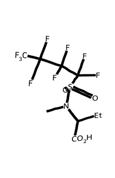 CCC(C(=O)O)N(C)S(=O)(=O)C(F)(F)C(F)(F)C(F)(F)C(F)(F)F